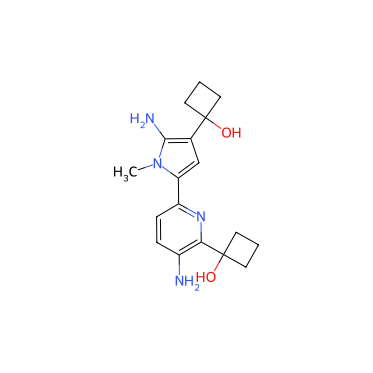 Cn1c(-c2ccc(N)c(C3(O)CCC3)n2)cc(C2(O)CCC2)c1N